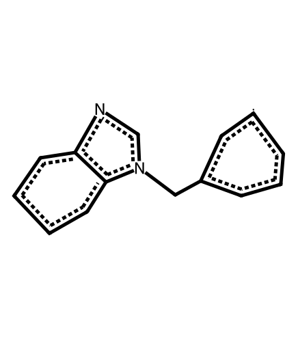 [c]1cccc(Cn2cnc3ccccc32)c1